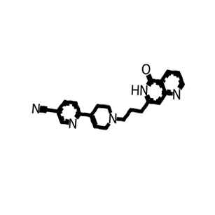 N#Cc1ccc(C2=CCN(CCCc3cc4ncccc4c(=O)[nH]3)CC2)nc1